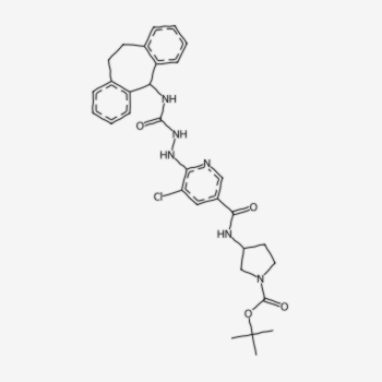 CC(C)(C)OC(=O)N1CCC(NC(=O)c2cnc(NNC(=O)NC3c4ccccc4CCc4ccccc43)c(Cl)c2)C1